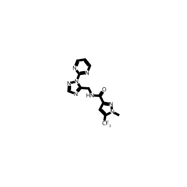 Cn1nc(C(=O)NCc2ncnn2-c2ncccn2)cc1C(F)(F)F